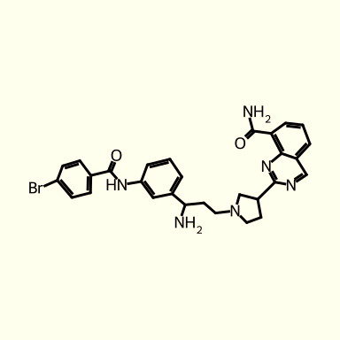 NC(=O)c1cccc2cnc(C3CCN(CCC(N)c4cccc(NC(=O)c5ccc(Br)cc5)c4)C3)nc12